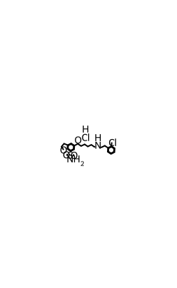 Cl.NS(=O)(=O)c1cc(C(=O)CCCCCNCCc2ccccc2Cl)cc2c1OCC2